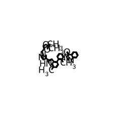 Cc1c(-c2ccc(C)c3[nH]c(-c4cnn(CC5COC(C)(C)O5)c4)cc23)cccc1-n1cnc2ccccc2c1=O